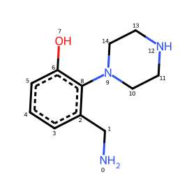 NCc1cccc(O)c1N1CCNCC1